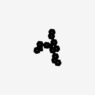 c1ccc(-c2ccc(-c3ccc4ccccc4c3)cc2N(c2ccc(-c3ccc4c(ccc5ccccc54)c3)cc2)c2ccc(-c3cccc4c3sc3ccccc34)cc2)cc1